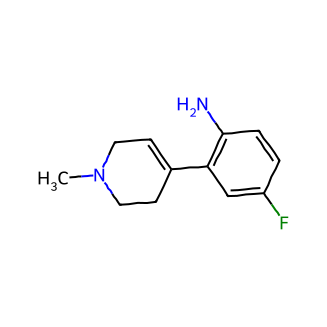 CN1CC=C(c2cc(F)ccc2N)CC1